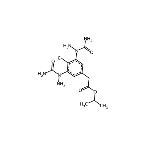 CC(C)OC(=O)Cc1cc(N(N)C(N)=O)c(Cl)c(N(N)C(N)=O)c1